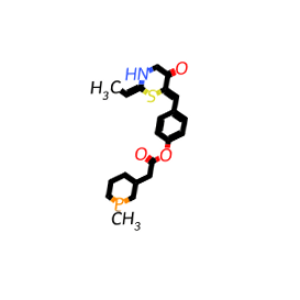 C/C=C1\NCC(=O)/C(=C/c2ccc(OC(=O)CC3CCCP(C)C3)cc2)S1